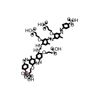 Cc1cc(N=Nc2cc(OCCCS(=O)(=O)O)c(NCNc3cc(C)c(/N=N\c4cc(C)c(/N=N\c5ccc(S(=O)(=O)O)cc5)cc4OCCCS(=O)(=O)O)cc3OCCCS(=O)(=O)O)cc2C)c(OCCCS(=O)(=O)O)cc1N=Nc1ccc(S(=O)(=O)O)cc1